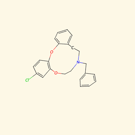 Clc1ccc2c(c1)OCCN(Cc1ccccc1)CCc1ccccc1O2